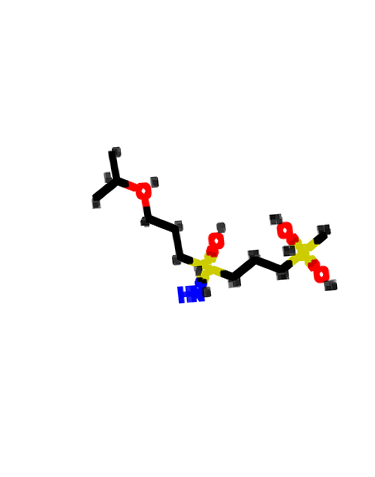 CC(C)OCCCS(=N)(=O)CCCS(C)(=O)=O